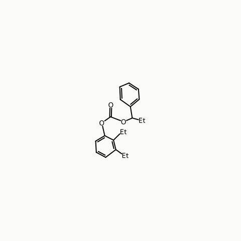 CCc1cccc(OC(=O)OC(CC)c2ccccc2)c1CC